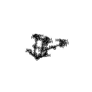 CC(=O)NC1C(OCCCCCC(=O)NCCCCCC(=O)N(CCO)CCOP(=O)(O)OCCN(CCOP(=O)(O)OCCN(CCOC2CCCC(C(C)C)C2)C(=O)CCCCCNC(=O)CCCCCOC2OC(CO)C(O)C(O)C2NC(C)=O)C(=O)CCCCCNC(=O)CCCCCOC2OC(CO)C(O)C(O)C2NC(C)=O)OC(CO)C(O)C1O